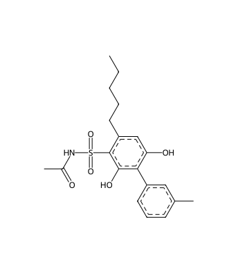 CCCCCc1cc(O)c(-c2cccc(C)c2)c(O)c1S(=O)(=O)NC(C)=O